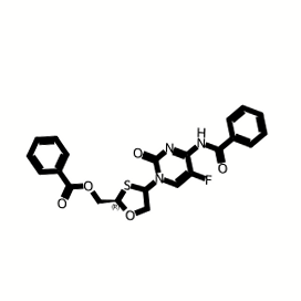 O=C(Nc1nc(=O)n(C2CO[C@@H](COC(=O)c3ccccc3)S2)cc1F)c1ccccc1